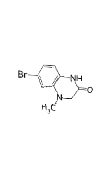 CN1CC(=O)Nc2ccc(Br)cc21